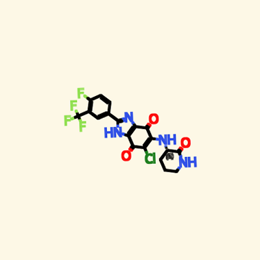 O=C1C(N[C@H]2CCCNC2=O)=C(Cl)C(=O)c2[nH]c(-c3ccc(F)c(C(F)(F)F)c3)nc21